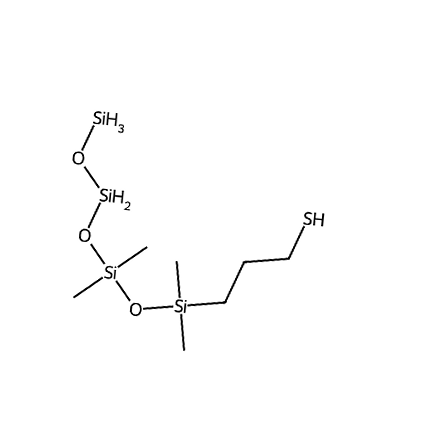 C[Si](C)(CCCS)O[Si](C)(C)O[SiH2]O[SiH3]